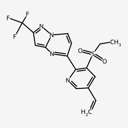 C=Cc1cnc(-c2ccn3nc(C(F)(F)F)cc3n2)c(S(=O)(=O)CC)c1